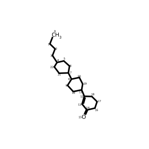 CCCCC1CCC(C2CCC(C3=CC(=O)CCC3)CC2)CC1